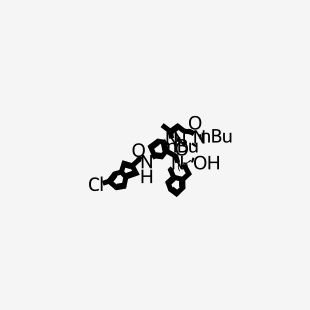 CCCCN(CCCC)C(=O)c1cc(C)n(-c2ccc(NC(=O)C3=CC4C=C(Cl)C=CC4=C3)cc2C(=O)N2Cc3ccccc3C[C@H]2CO)n1